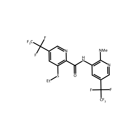 CCSc1cc(C(F)(F)C(F)(F)F)cnc1C(=O)Nc1cc(C(F)(F)C(F)(F)F)cnc1NC